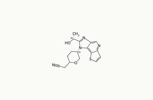 C[C@@H](O)c1nc2cnc3ccsc3c2n1[C@H]1CCC(CC#N)OC1